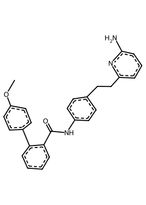 COc1ccc(-c2ccccc2C(=O)Nc2ccc(CCc3cccc(N)n3)cc2)cc1